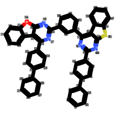 c1ccc(-c2ccc(-c3nc(-c4cccc(-c5nc(-c6ccc(-c7ccccc7)cc6)c6c(n5)oc5ccccc56)c4)c4c(n3)sc3ccccc34)cc2)cc1